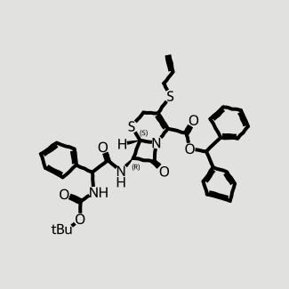 C=CCSC1=C(C(=O)OC(c2ccccc2)c2ccccc2)N2C(=O)[C@@H](NC(=O)C(NC(=O)OC(C)(C)C)c3ccccc3)[C@@H]2SC1